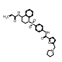 C=CC(=O)NC1CCN(S(=O)(=O)c2ccc(NC(=O)c3ccc(CN4CCCC4)o3)cc2)c2ccccc21